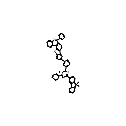 CC1(C)c2ccccc2-c2cc(C3=NC(c4cccc(-c5ccc6sc7c(ccc8c(-c9ccccc9)nc9ccccc9c87)c6c5)c4)NC(c4ccccc4)=N3)ccc21